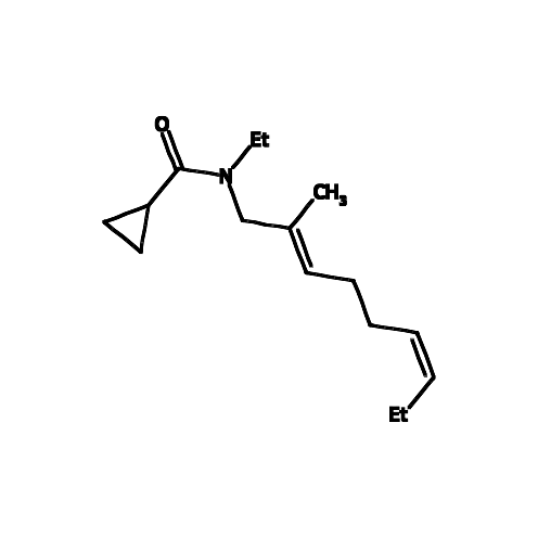 CC/C=C\CC/C=C(\C)CN(CC)C(=O)C1CC1